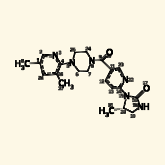 Cc1cnc(N2CCN(C(=O)c3ccc(N4C(=O)NC[C@@H]4C)nc3)CC2)c(C)c1